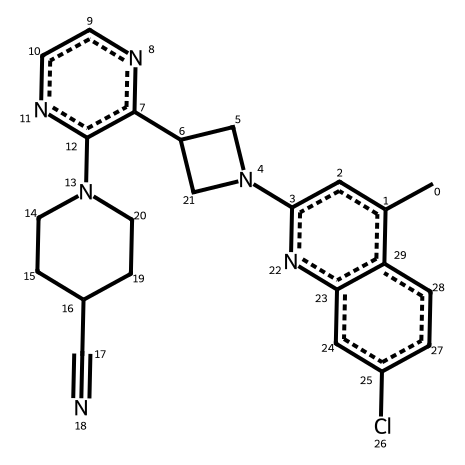 Cc1cc(N2CC(c3nccnc3N3CCC(C#N)CC3)C2)nc2cc(Cl)ccc12